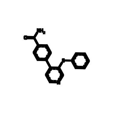 NC(=O)c1ccc(-c2ccncc2Sc2ccccc2)cc1